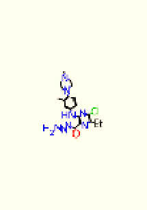 CCc1nc(C(=O)N=NN)c(Nc2ccc(N3CCN(C)CC3)c(C)c2)nc1Cl